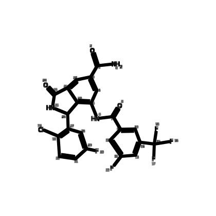 NC(=O)c1cc(NC(=O)c2cc(F)cc(C(F)(F)F)c2)c2c(c1)C(=O)NC2c1cc(F)ccc1Cl